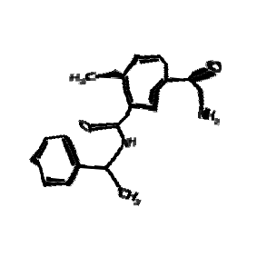 Cc1ccc(C(N)=O)cc1C(=O)NC(C)c1ccccc1